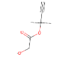 C#CC(C)(C)OC(=O)C[O]